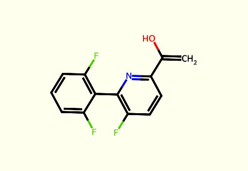 C=C(O)c1ccc(F)c(-c2c(F)cccc2F)n1